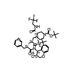 CC(C)(C)OC(=O)N1CCN(C[C@H](C[C@@H](Cc2cccnc2)C(=O)N[C@H]2c3ccccc3OC[C@H]2O)O[Si](C)(C)C(C)(C)C)[C@H](C(=O)NCC(F)(F)F)C1